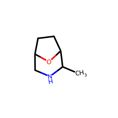 CC1NCC2CCC1O2